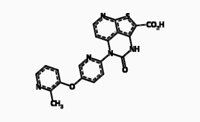 Cc1ncccc1Oc1ccc(N2C(=O)Nc3c(C(=O)O)sc4nccc2c34)nc1